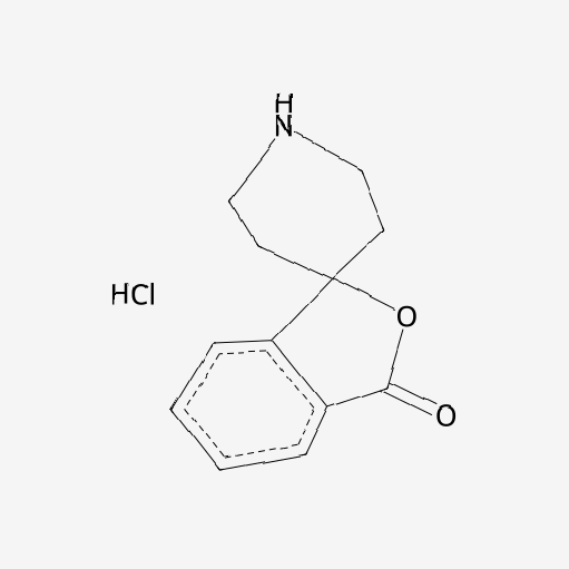 Cl.O=C1OC2(CCNCC2)c2ccccc21